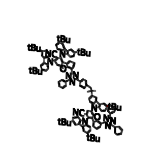 CC(C)(C)c1ccc2c(c1)c1cc(C(C)(C)C)ccc1n2-c1cc2oc3c(-c4nc(-c5ccccc5)nc(-c5ccc(CC(C)(C)c6ccc7c(c6)c6cc(C(C)(C)C)ccc6n7-c6cc(C#N)c(-n7c8ccc(C(C)(C)C)cc8c8cc(C(C)(C)C)ccc87)c7c6oc6c(-c8nc(-c9ccccc9)nc(-c9ccccc9)n8)cccc67)cc5)n4)cccc3c2c(-n2c3ccc(C(C)(C)C)cc3c3cc(C(C)(C)C)ccc32)c1C#N